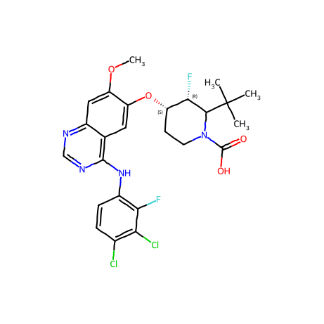 COc1cc2ncnc(Nc3ccc(Cl)c(Cl)c3F)c2cc1O[C@H]1CCN(C(=O)O)C(C(C)(C)C)[C@H]1F